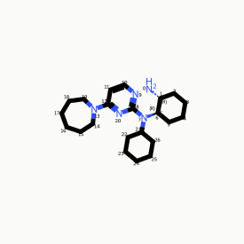 N[C@@H]1CCCC[C@H]1N(c1nccc(N2CCCCCC2)n1)C1CCCCC1